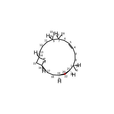 C[C@H]1CCC=CC[C@@H](I)[C@@H](I)CCC[C@H]2C[C@@H](CC[C@H]3C[C@@H]1C3)S2